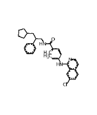 C=C(/C=C\C(=C/C)Nc1nccc2ccc(Cl)cc12)C(=O)NCC(CC1CCCC1)c1ccccc1